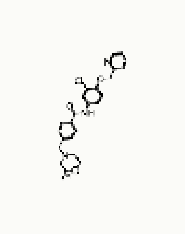 C[C@H]1CN(Cc2ccc(C(=O)Nc3ccc(OCc4ccccn4)c(Cl)c3)cc2)CCO1